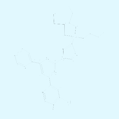 CCC[CH2][Sn]([CH2]CCC)([CH2]CCC)[c]1cn(-c2nc(-c3ccccc3)cc(-c3ccc(Cl)c(Cl)c3)n2)cn1